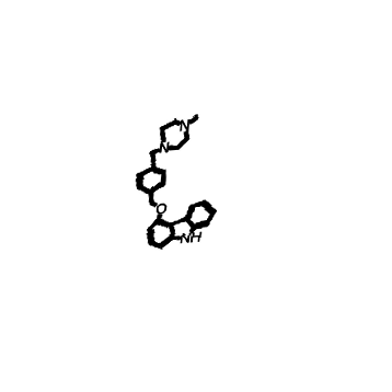 CN1CCN(Cc2ccc(COc3cccc4[nH]c5ccccc5c34)cc2)CC1